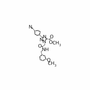 COC(=O)c1nc(-c2ccc(C#N)cc2)nn1CC(=O)NCc1cccc(OC)c1